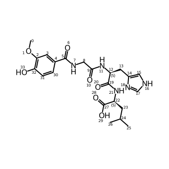 COc1cc(C(=O)NCC(=O)N[C@@H](Cc2c[nH]cn2)C(=O)N[C@@H](CC(C)C)C(=O)O)ccc1O